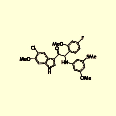 COc1cc(NC(C(=O)c2c[nH]c3cc(OC)c(Cl)cc23)c2ccc(F)cc2OC)cc(SC)c1